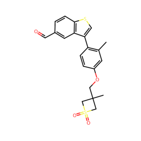 Cc1cc(OCC2(C)CS(=O)(=O)C2)ccc1-c1csc2ccc(C=O)cc12